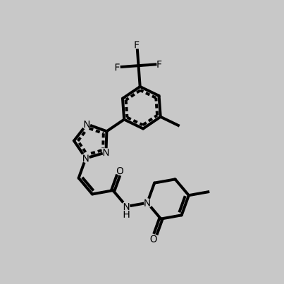 CC1=CC(=O)N(NC(=O)/C=C\n2cnc(-c3cc(C)cc(C(F)(F)F)c3)n2)CC1